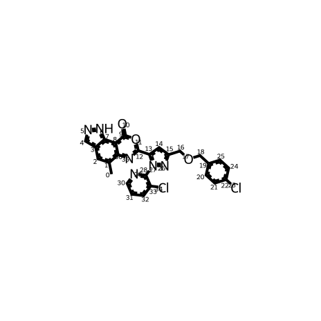 Cc1cc2cn[nH]c2c2c(=O)oc(-c3cc(COCc4ccc(Cl)cc4)nn3-c3ncccc3Cl)nc12